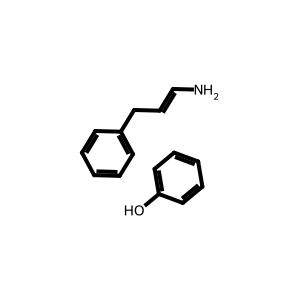 NC=CCc1ccccc1.Oc1ccccc1